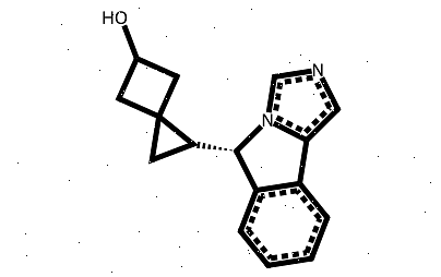 OC1CC2(C1)CC2[C@H]1c2ccccc2-c2cncn21